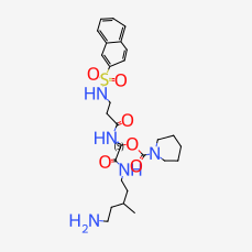 CC(CCN)CCNC(=O)[C@@H](NC(=O)CCNS(=O)(=O)c1ccc2ccccc2c1)OC(=O)N1CCCCC1